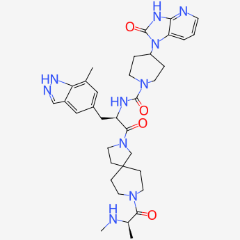 CN[C@H](C)C(=O)N1CCC2(CC1)CCN(C(=O)[C@@H](Cc1cc(C)c3[nH]ncc3c1)NC(=O)N1CCC(n3c(=O)[nH]c4ncccc43)CC1)C2